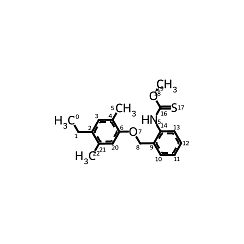 CCc1cc(C)c(OCc2ccccc2NC(=S)OC)cc1C